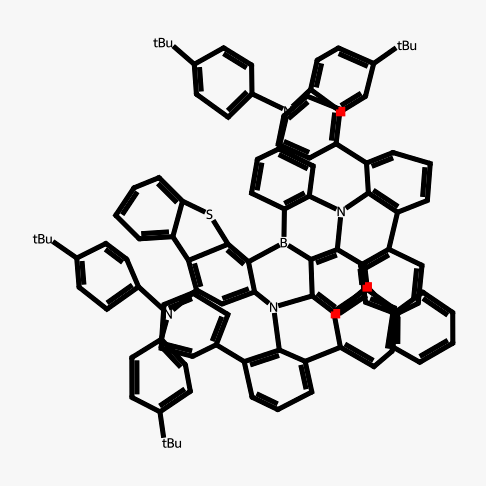 CC(C)(C)c1ccc(N(c2ccc(C(C)(C)C)cc2)c2ccc3c(c2)N(c2c(-c4ccccc4)cccc2-c2ccccc2)c2cc(-c4ccccc4)cc4c2B3c2c(cc(N(c3ccc(C(C)(C)C)cc3)c3ccc(C(C)(C)C)cc3)c3c2sc2ccccc23)N4c2c(-c3ccccc3)cccc2-c2ccccc2)cc1